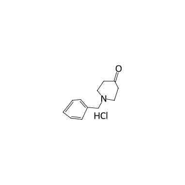 Cl.O=C1CCN(Cc2ccccc2)CC1